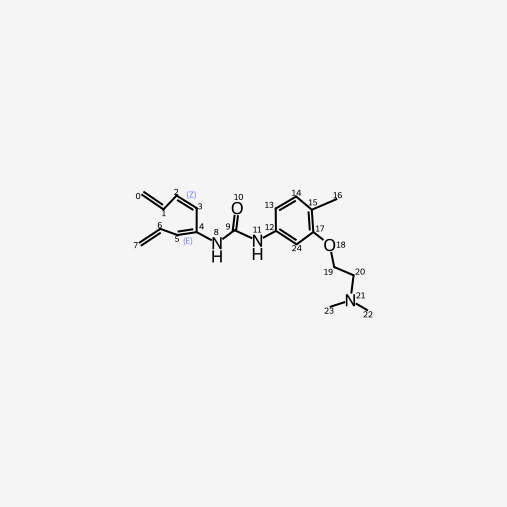 C=C/C=C\C(=C/C=C)NC(=O)Nc1ccc(C)c(OCCN(C)C)c1